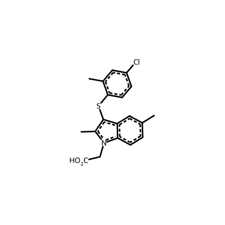 Cc1ccc2c(c1)c(Sc1ccc(Cl)cc1C)c(C)n2CC(=O)O